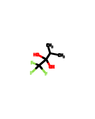 CC(C)C(O)(O)C(F)(F)F